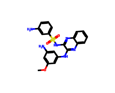 COc1cc(N)cc(Nc2nc3ccccc3nc2NS(=O)(=O)c2cccc(N)c2)c1